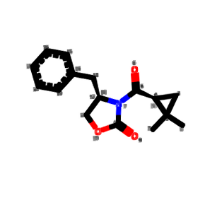 CC1(C)C[C@@H]1C(=O)N1C(=O)OC[C@H]1Cc1ccccc1